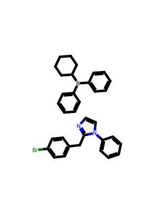 Brc1ccc(Cc2nccn2-c2ccccc2)cc1.c1ccc(B(c2ccccc2)C2CCCCC2)cc1